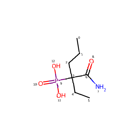 CCCC(CC)(C(N)=O)P(=O)(O)O